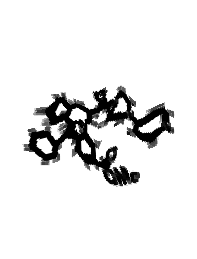 COC(=O)c1ccc2c(C3CCCCC3)c3n(c2c1)CC(C(=O)N1CCN(c2ccncc2)CC1)Cc1ccccc1-3